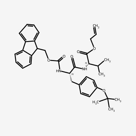 C=CCOC(=O)[C@@H](NC(=O)[C@H](Cc1ccc(OC(C)(C)C)cc1)NC(=O)OCC1c2ccccc2-c2ccccc21)C(C)C